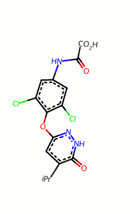 CC(C)c1cc(Oc2c(Cl)cc(NC(=O)C(=O)O)cc2Cl)n[nH]c1=O